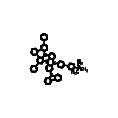 CC(C)(C)c1ccc(-c2ccc(N3c4cc(-n5c6ccccc6c6ccccc65)ccc4B4c5cc(-c6ccccc6)cc6c5N(c5ccc(-c7ccccc7)cc5-c5ccccc5-6)c5cccc3c54)cc2)cc1